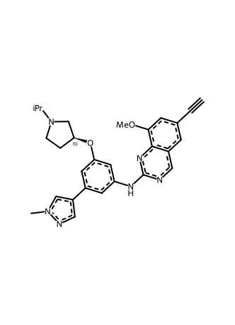 C#Cc1cc(OC)c2nc(Nc3cc(O[C@H]4CCN(C(C)C)C4)cc(-c4cnn(C)c4)c3)ncc2c1